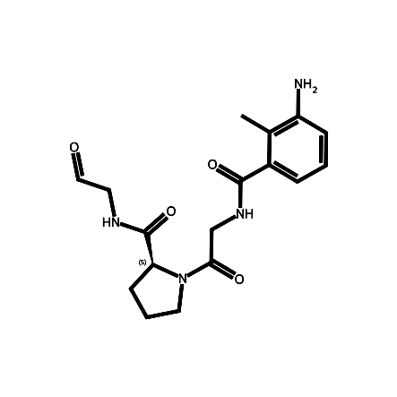 Cc1c(N)cccc1C(=O)NCC(=O)N1CCC[C@H]1C(=O)NCC=O